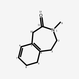 CN1CCC2=C(C=CCC2)CC1=O